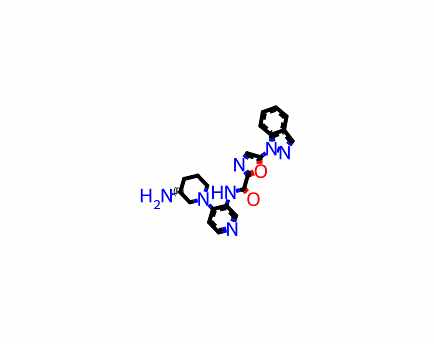 N[C@@H]1CCCN(c2ccncc2NC(=O)c2ncc(-n3ncc4ccccc43)o2)C1